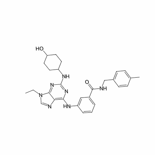 CCn1cnc2c(Nc3cccc(C(=O)NCc4ccc(C)cc4)c3)nc(NC3CCC(O)CC3)nc21